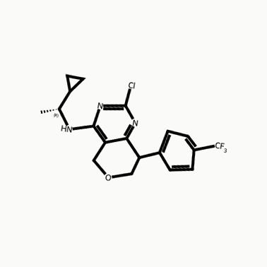 C[C@@H](Nc1nc(Cl)nc2c1COCC2c1ccc(C(F)(F)F)cc1)C1CC1